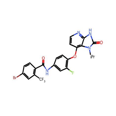 CC(C)n1c(=O)[nH]c2nccc(Oc3ccc(NC(=O)c4ccc(Br)cc4C(F)(F)F)cc3F)c21